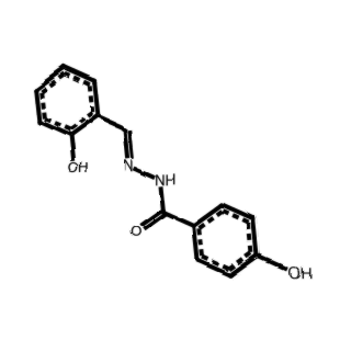 O=C(N/N=C/c1ccccc1O)c1ccc(O)cc1